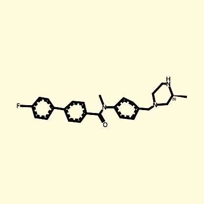 C[C@H]1CN(Cc2ccc(N(C)C(=O)c3ccc(-c4ccc(F)cc4)cc3)cc2)CCN1